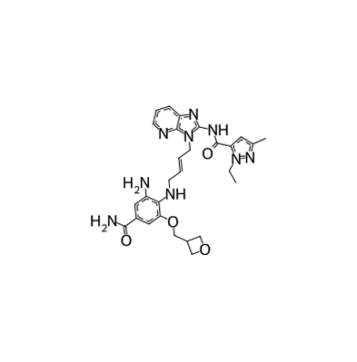 CCn1nc(C)cc1C(=O)Nc1nc2cccnc2n1C/C=C/CNc1c(N)cc(C(N)=O)cc1OCC1COC1